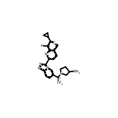 NC1CCN([C@H](c2ccc3nnc(-c4ccc5ccc(C6CC6)c(F)c5n4)n3c2)C(F)(F)F)C1